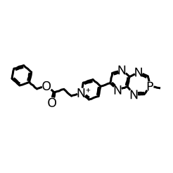 CP1C=Nc2ncc(-c3cc[n+](CCC(=O)OCc4ccccc4)cc3)nc2N=C1